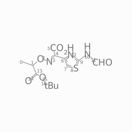 CC(ON=C(C(=O)O)c1csc(NC=O)n1)C(=O)OC(C)(C)C